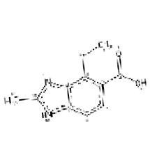 CCc1c(C(=O)O)ccc2[nH]c(C)nc12